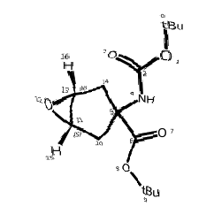 CC(C)(C)OC(=O)NC1(C(=O)OC(C)(C)C)C[C@@H]2O[C@@H]2C1